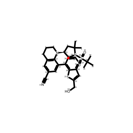 CC1(C)C[C@H](N2CCCc3cc(C#N)cc(-c4ccnc5cc(CO)sc45)c32)CN1S(=O)(=O)C(C)(C)C